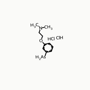 CN(C)CCOc1cccc([AsH2])c1.Cl.Cl